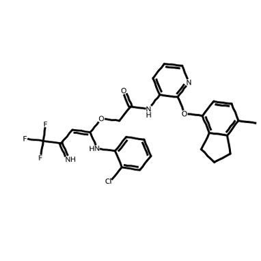 Cc1ccc(Oc2ncccc2NC(=O)CO/C(=C/C(=N)C(F)(F)F)Nc2ccccc2Cl)c2c1CCC2